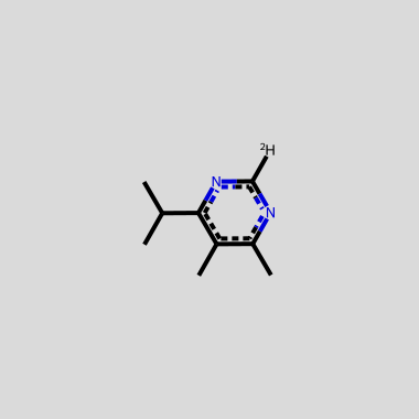 [2H]c1nc(C)c(C)c(C(C)C)n1